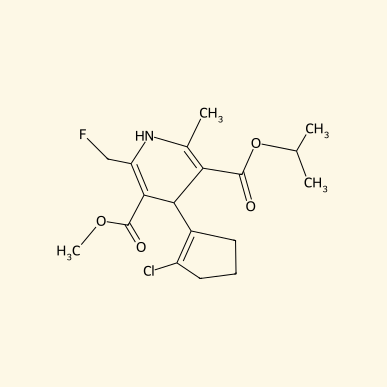 COC(=O)C1=C(CF)NC(C)=C(C(=O)OC(C)C)C1C1=C(Cl)CCC1